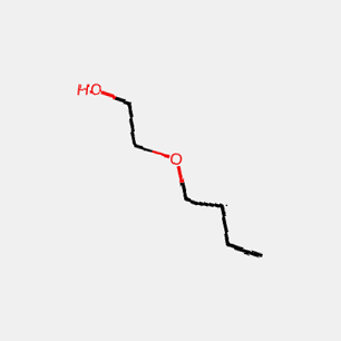 CC[CH]COCCO